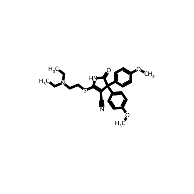 CCN(CC)CCSC1=C(C#N)C(c2ccc(OC)cc2)(c2ccc(OC)cc2)C(=O)N1